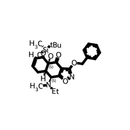 CCN(C)[C@@H]1c2onc(OCc3ccccc3)c2C(=O)[C@@]2(O[Si](C)(C)C(C)(C)C)C(=O)C=CC[C@@H]12